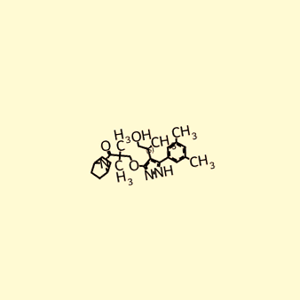 Cc1cc(C)cc(-c2[nH]nc(OCC(C)(C)C(=O)N3C4CCC3CC4)c2[C@H](C)CO)c1